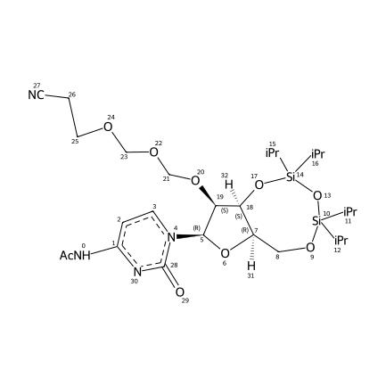 CC(=O)Nc1ccn([C@@H]2O[C@@H]3CO[Si](C(C)C)(C(C)C)O[Si](C(C)C)(C(C)C)O[C@@H]3[C@@H]2OCOCOCCC#N)c(=O)n1